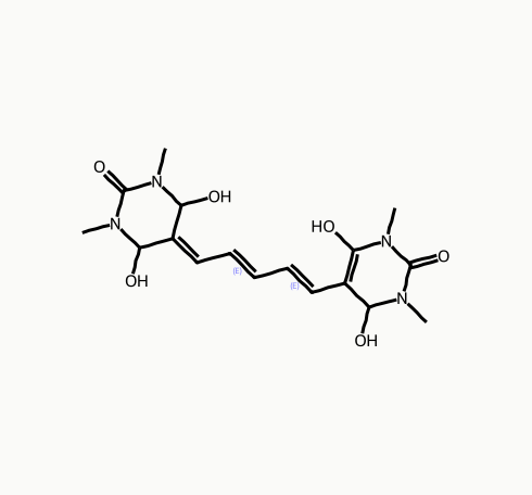 CN1C(=O)N(C)C(O)C(/C=C/C=C/C=C2C(O)N(C)C(=O)N(C)C2O)=C1O